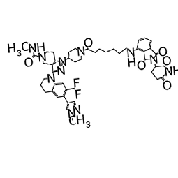 CNC(=O)N1CCc2c(c(N3CCCc4cc(-c5cnn(C)c5)c(C(F)F)cc43)nn2C2CCN(C(=O)CCCCCCNc3cccc4c3C(=O)N(C3CCC(=O)NC3=O)C4=O)CC2)C1